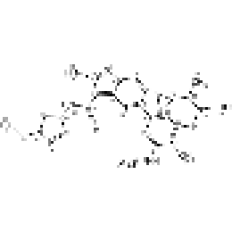 CSNc1cc(-c2ccn3nc(N)c(C(=O)Nc4cnn(CC(F)(F)F)c4)c3n2)cc(CN(C=O)C(C)C2CC2)c1C